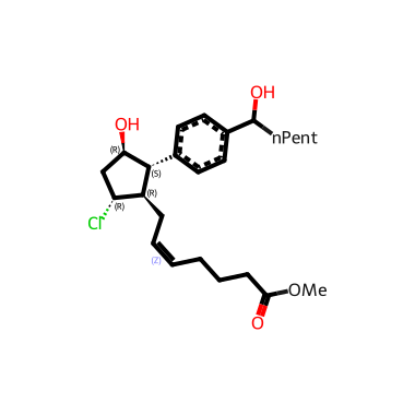 CCCCCC(O)c1ccc([C@@H]2[C@@H](C/C=C\CCCC(=O)OC)[C@H](Cl)C[C@H]2O)cc1